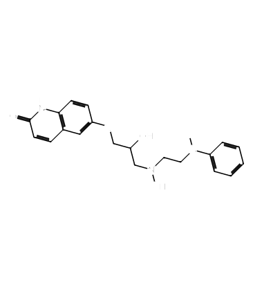 CN(CC[S+]([O-])c1ccccc1)CC(O)COc1ccc2[nH]c(=O)ccc2c1